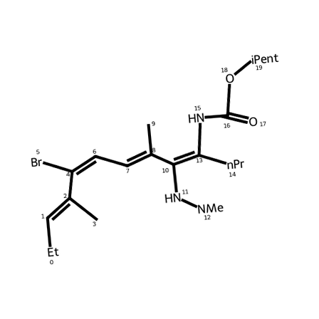 CC/C=C(C)/C(Br)=C\C=C(C)\C(NNC)=C(\CCC)NC(=O)OC(C)CCC